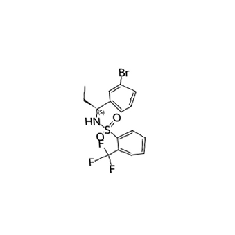 CC[C@H](NS(=O)(=O)c1ccccc1C(F)(F)F)c1cccc(Br)c1